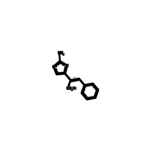 CCOC(=O)/C(=C\c1ccccc1)c1csc(N)n1